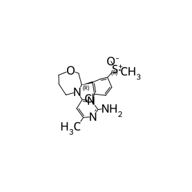 Cc1cc(N2CCCOC[C@H]2c2cc([S@+](C)[O-])ccc2Cl)nc(N)n1